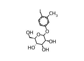 Cc1cc(OC2O[C@H](CO)[C@@H](O)[C@H](O)[C@@H]2O)ccc1I